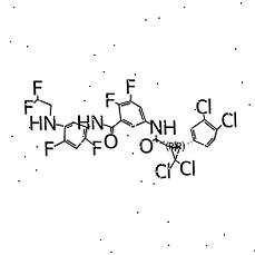 O=C(Nc1cc(NCC(F)F)c(F)cc1F)c1cc(NC(=O)[C@H]2[C@H](c3ccc(Cl)c(Cl)c3)C2(Cl)Cl)cc(F)c1F